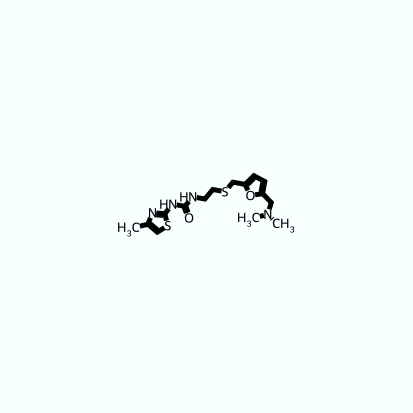 Cc1csc(NC(=O)NCCSCc2ccc(CN(C)C)o2)n1